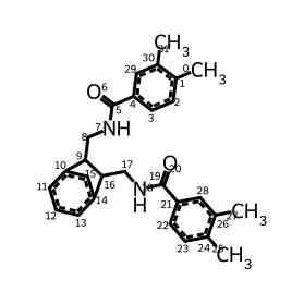 Cc1ccc(C(=O)NCC2c3cccc(c3)C2CNC(=O)c2ccc(C)c(C)c2)cc1C